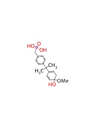 COC1(O)C=CC(C(C)(C)c2ccc(CP(=O)(O)O)cc2)=CC1